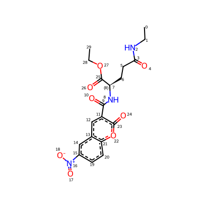 CCNC(=O)CC[C@@H](NC(=O)c1cc2cc([N+](=O)[O-])ccc2oc1=O)C(=O)OCC